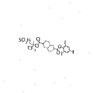 CC(CS(=O)(=O)O)(OC(=O)C1CCC2CC(C(=O)Oc3c(I)cc(I)cc3I)CCC2C1)C(F)(F)F